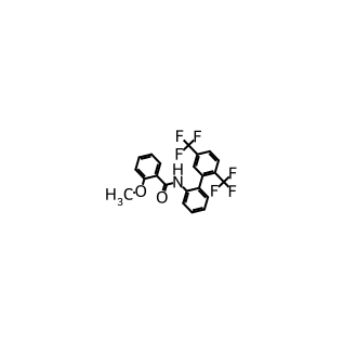 COc1ccccc1C(=O)Nc1ccccc1-c1cc(C(F)(F)F)ccc1C(F)(F)F